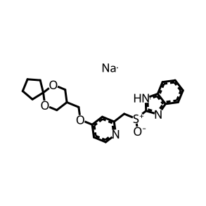 [Na].[O-][S+](Cc1cc(OCC2COC3(CCCC3)OC2)ccn1)c1nc2ccccc2[nH]1